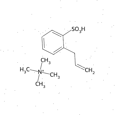 C=CCc1ccccc1S(=O)(=O)O.C[N+](C)(C)C